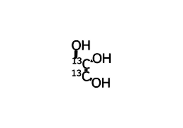 OC[13C@@H](O)[13CH2]O